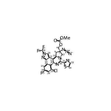 COC(=O)OC[C@]1(N=[N+]=[N-])CC2=C(c3cnn(C(F)F)c3)[C@H](c3ccc(F)cc3Cl)N=C(c3nccs3)N2C1